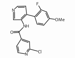 COc1ccc(-c2ccncc2NC(=O)c2ccnc(Cl)c2)c(F)c1